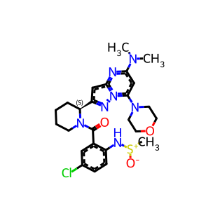 CN(C)c1cc(N2CCOCC2)n2nc([C@@H]3CCCCN3C(=O)c3cc(Cl)ccc3N[S+](C)[O-])cc2n1